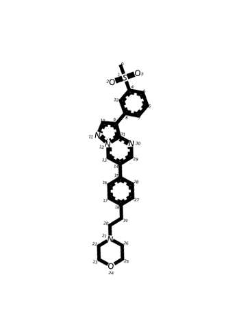 CS(=O)(=O)c1cccc(-c2cnn3cc(-c4ccc(CCN5CCOCC5)cc4)cnc23)c1